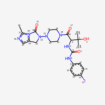 CCC(O)(CC)C(NC(=O)Nc1ccc(I)cc1)C(=O)N1CCN(N2Cc3cnc(C)n3C2=O)CC1